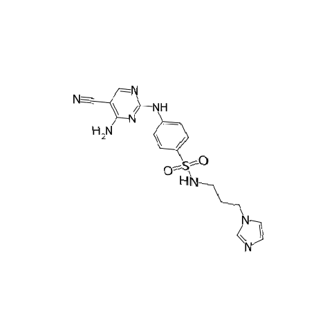 N#Cc1cnc(Nc2ccc(S(=O)(=O)NCCCn3ccnc3)cc2)nc1N